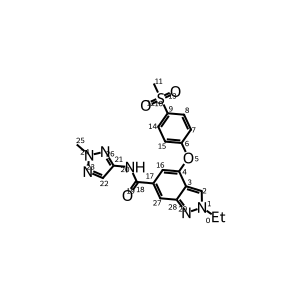 CCn1cc2c(Oc3ccc(S(C)(=O)=O)cc3)cc(C(=O)Nc3cnn(C)n3)cc2n1